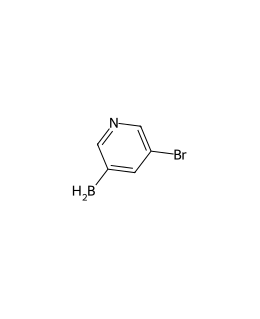 Bc1cncc(Br)c1